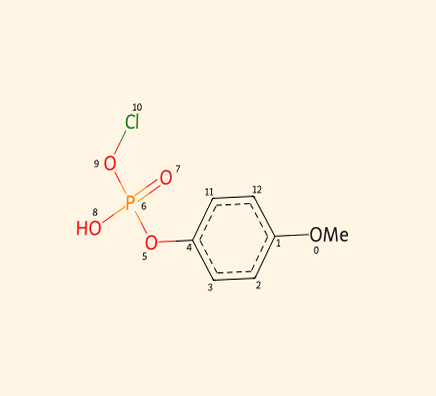 COc1ccc(OP(=O)(O)OCl)cc1